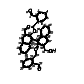 O=Cc1ccccc1COc1c(C=O)cc2ccccc2c1-c1c(OCc2ccccc2C=O)c(CO)cc2ccccc12